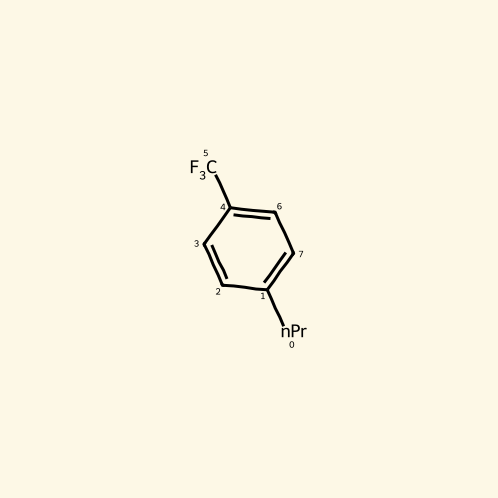 [CH]CCc1ccc(C(F)(F)F)cc1